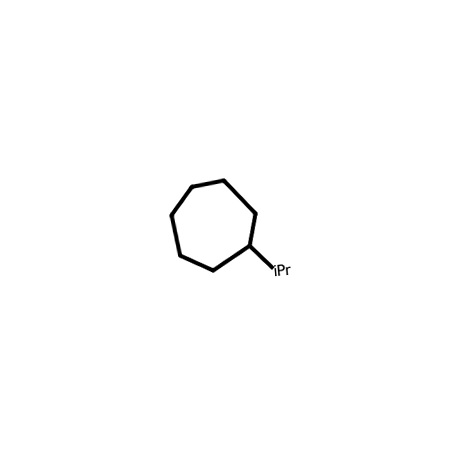 CC(C)C1CCCCCC1